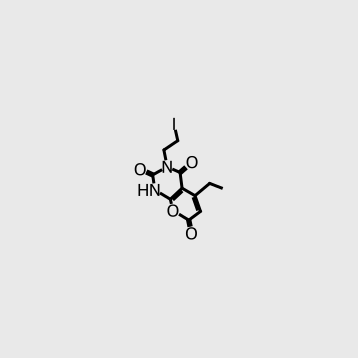 CCc1cc(=O)oc2[nH]c(=O)n(CCI)c(=O)c12